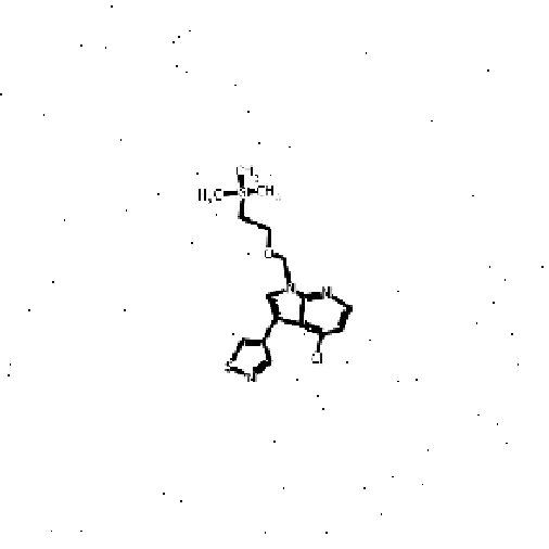 C[Si](C)(C)CCOCn1cc(-c2cnsc2)c2c(Cl)ccnc21